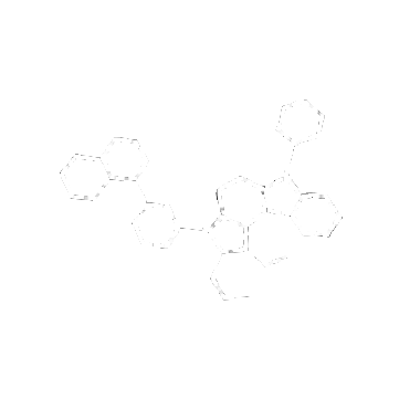 C=Cc1c(/C=C\C)n(-c2cccc(-c3cccc4ccccc34)c2)c2ccc3c(c4ccccc4n3-c3ccccc3)c12